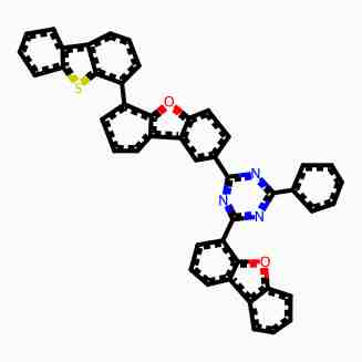 c1ccc(-c2nc(-c3ccc4oc5c(-c6cccc7c6sc6ccccc67)cccc5c4c3)nc(-c3cccc4c3oc3ccccc34)n2)cc1